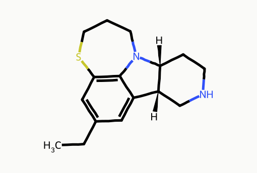 CCc1cc2c3c(c1)[C@H]1CNCC[C@H]1N3CCCS2